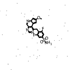 COC1=CC2N=Cc3ncnc(Cc4c(F)cc(S(N)(=O)=O)cc4F)c3C2=C1